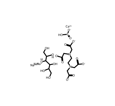 O=C([O-])CN(CCN(CC(=O)[O-])CC(=O)[O-])CC(=O)[O-].O=S([O-])O.OCC(O)C(O)C(O)C(O)CO.[Ca+2].[Na+].[Na+].[Na+]